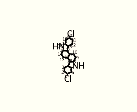 Clc1ccc2c(c1)[nH]c1ccc3c(ccc4[nH]c5cc(Cl)ccc5c43)c12